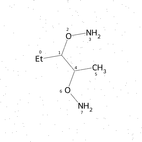 CCC(ON)C(C)ON